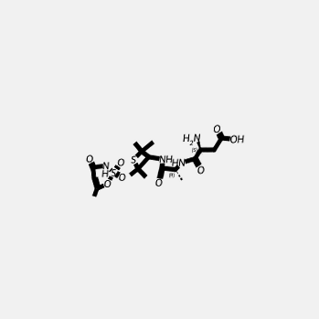 CC1=CC(=O)NS(=O)(=O)O1.C[C@@H](NC(=O)[C@@H](N)CC(=O)O)C(=O)NC1C(C)(C)SC1(C)C